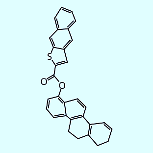 O=C(Oc1cccc2c3c(ccc12)C1=C(CCC=C1)CC3)c1cc2cc3ccccc3cc2s1